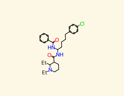 CCC1C(C(=O)NC(CCCCc2ccc(Cl)cc2)NC(=O)c2ccccc2)CCCN1CC